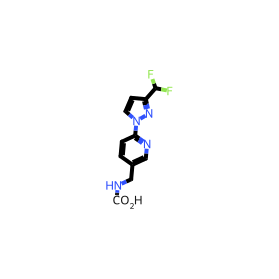 O=C(O)NCc1ccc(-n2ccc(C(F)F)n2)nc1